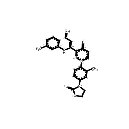 Cc1cc(N2CCOC2=O)ccc1-n1ccc(=O)c(/C(=C/C=N)Nc2cccc(C(F)(F)F)c2)n1